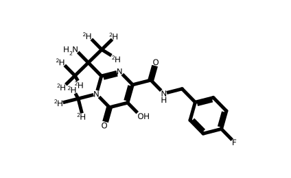 [2H]C([2H])([2H])n1c(C(N)(C([2H])([2H])[2H])C([2H])([2H])[2H])nc(C(=O)NCc2ccc(F)cc2)c(O)c1=O